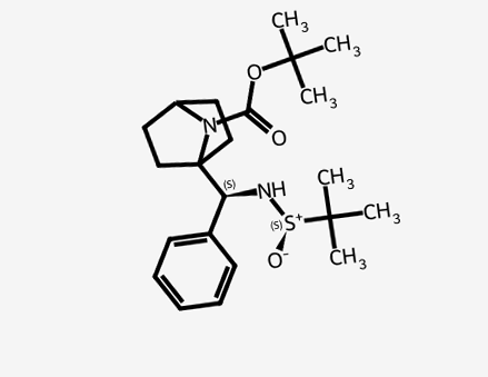 CC(C)(C)OC(=O)N1C2CCC1([C@@H](N[S@+]([O-])C(C)(C)C)c1ccccc1)CC2